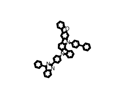 c1ccc(-c2ccc(-n3c4cc5oc6ccccc6c5cc4c4ccc5c(c6ccccc6n5-c5ccc(-c6nc(-c7ccccc7)c7ccccc7n6)cc5)c43)cc2)cc1